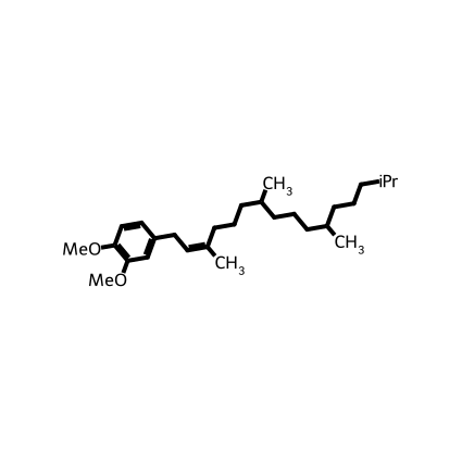 COc1ccc(CC=C(C)CCCC(C)CCCC(C)CCCC(C)C)cc1OC